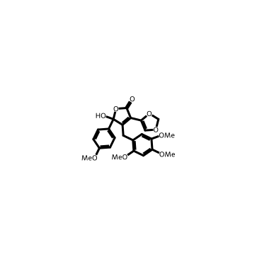 COc1ccc(C2(O)OC(=O)C(C3=COCO3)=C2Cc2cc(OC)c(OC)cc2OC)cc1